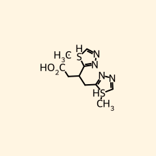 C[SH]1C=NN=C1CC(CC(=O)O)C1=NN=C[SH]1C